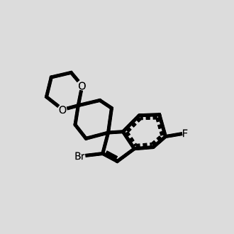 Fc1ccc2c(c1)C=C(Br)C21CCC2(CC1)OCCCO2